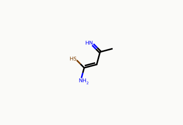 CC(=N)/C=C(/N)S